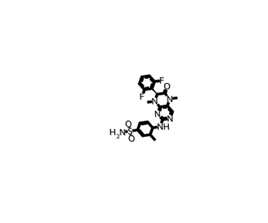 CC1C=C(S(N)(=O)=O)C=CC1Nc1ncc2c(n1)N(C)[C@@H](c1c(F)cccc1F)C(=O)N2C